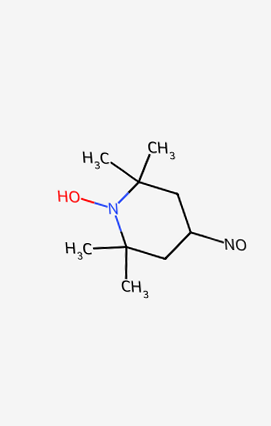 CC1(C)CC(N=O)CC(C)(C)N1O